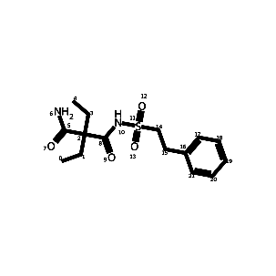 CCC(CC)(C(N)=O)C(=O)NS(=O)(=O)CCc1ccccc1